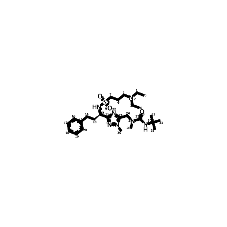 CCN(CC)CCCS(=O)(=O)N[C@H](CCc1ccccc1)c1nc(CN(C)C(=O)NC(C)(C)C)n(C)n1